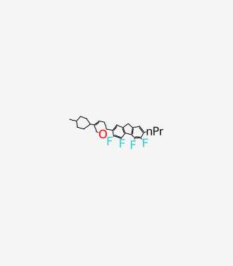 CCCc1cc2c(c(F)c1F)-c1c(cc(C3CC=C(C4CCC(C)CC4)CO3)c(F)c1F)C2